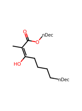 CCCCCCCCCCCCCCC(O)=C(C)C(=O)OCCCCCCCCCC